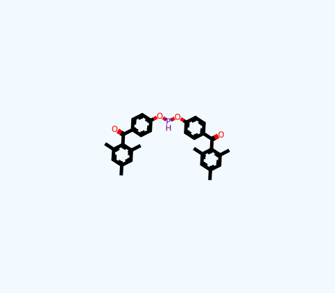 Cc1cc(C)c(C(=O)c2ccc(OPOc3ccc(C(=O)c4c(C)cc(C)cc4C)cc3)cc2)c(C)c1